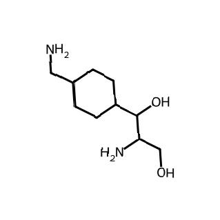 NCC1CCC(C(O)C(N)CO)CC1